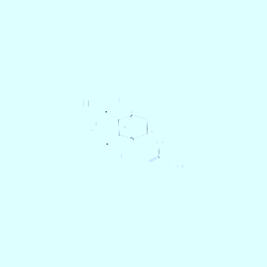 CCC(C)C(=O)OC1CC2CC1C(C(O)(CC)CC)C2C(O)(CC)CC